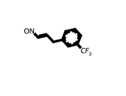 O=NC=CCc1cccc(C(F)(F)F)c1